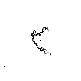 CC/C=C\C[C@H](F)CCC1C(=O)C=C[C@@H]1C/C=C\CCCCOCc1ccc(OC)cc1